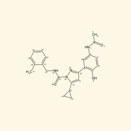 CC(=O)Nc1ccc(O)c(-c2cc(C3CC3)n(C(=O)NCc3ccccc3C)n2)c1